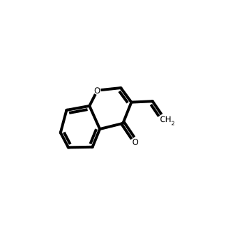 C=Cc1coc2ccccc2c1=O